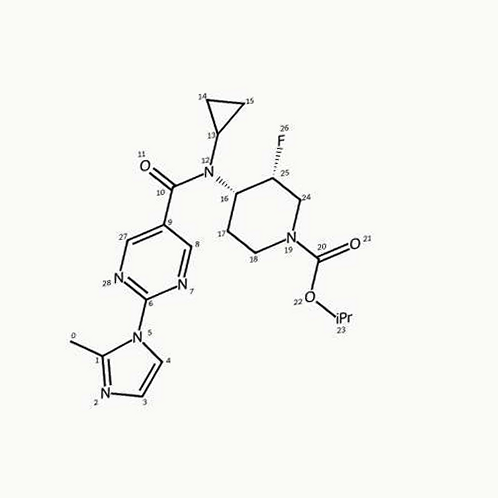 Cc1nccn1-c1ncc(C(=O)N(C2CC2)[C@H]2CCN(C(=O)OC(C)C)C[C@H]2F)cn1